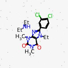 CCNCC.CCn1c(-c2ccc(Cl)c(Cl)c2)nc2c1c(=O)n(C)c(=O)n2C